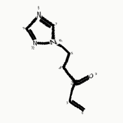 C=CC(=O)CCn1cncn1